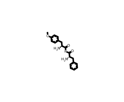 COc1ccc(C[C@H](N)C(=O)[N]C(=O)[C@@H](N)Cc2ccccc2)cc1